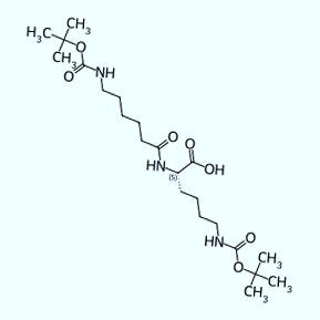 CC(C)(C)OC(=O)NCCCCCC(=O)N[C@@H](CCCCNC(=O)OC(C)(C)C)C(=O)O